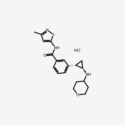 Cc1cc(NC(=O)c2cccc([C@@H]3C[C@H]3NC3CCOCC3)c2)sn1.Cl